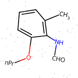 CCCOc1cccc(C)c1NC=O